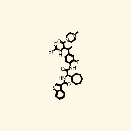 CCC(=O)NC(C(=O)N1CCN(C)CC1)C(C)c1ccc(NC(=O)C(NC(=O)c2csc3ccccc23)C2CCCCCC2)c(F)c1